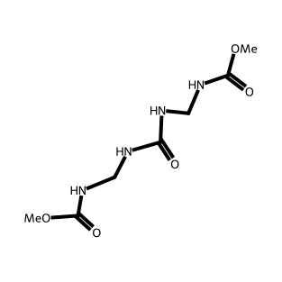 COC(=O)NCNC(=O)NCNC(=O)OC